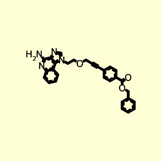 Nc1nc2ccccc2c2c1ncn2CCOCC#Cc1ccc(C(=O)OCc2ccccc2)cc1